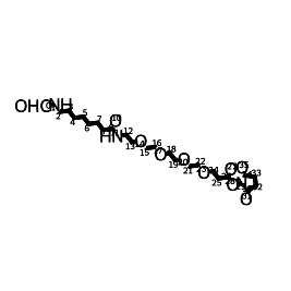 O=CNCCCCCCCC(=O)NCCOCCOCCOCCOCCC(=O)ON1C(=O)CCC1=O